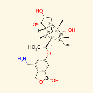 C=C[C@]1(C)C[C@@H](C(Oc2cc(CN)c3c(c2)B(O)OC3)C(=O)O)[C@@]2(C)[C@H](C)CC[C@]3(CC(O)C(=O)[C@H]32)[C@@H](C)[C@@H]1O